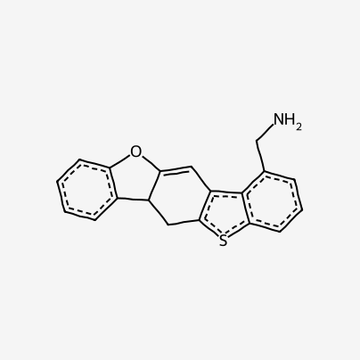 NCc1cccc2sc3c(c12)C=C1Oc2ccccc2C1C3